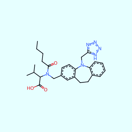 CCCCC(=O)N(Cc1ccc2c(c1)CCc1ccccc1N2Cc1nnn[nH]1)C(C(=O)O)C(C)C